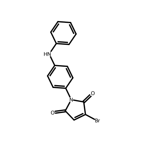 O=C1C=C(Br)C(=O)N1c1ccc(Nc2ccccc2)cc1